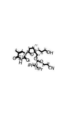 Cc1cn([C@H]2C[C@H](C)[C@@](CCCO)(COP(OCCC#N)N(C(C)C)C(C)C)O2)c(=O)[nH]c1=O